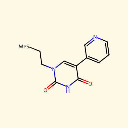 CSCCn1cc(-c2cccnc2)c(=O)[nH]c1=O